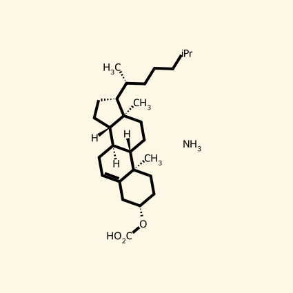 CC(C)CCC[C@@H](C)[C@H]1CC[C@H]2[C@@H]3CC=C4C[C@@H](OC(=O)O)CC[C@]4(C)[C@H]3CC[C@]12C.N